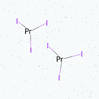 [I][Pr]([I])[I].[I][Pr]([I])[I]